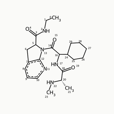 CCNC(=O)C1Cc2cccnc2N1C(=O)C(NC(=O)[C@H](C)NC)C1CCCCC1